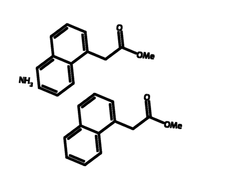 COC(=O)Cc1cccc2ccccc12.COC(=O)Cc1cccc2ccccc12.N